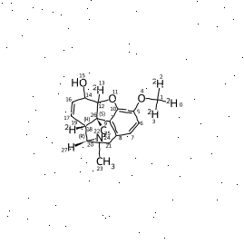 [2H]C([2H])([2H])Oc1ccc2c3c1OC1([2H])C(O)C=C[C@@]4([2H])[C@@H](C2)N(C)CC[C@]314